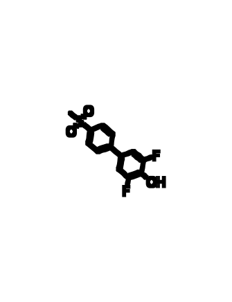 CS(=O)(=O)c1ccc(-c2cc(F)c(O)c(F)c2)cc1